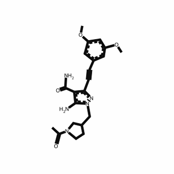 COc1cc(C#Cc2nn(CC3CCN(C(C)=O)C3)c(N)c2C(N)=O)cc(OC)c1